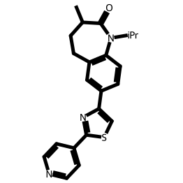 CC1CCc2cc(-c3csc(-c4ccncc4)n3)ccc2N(C(C)C)C1=O